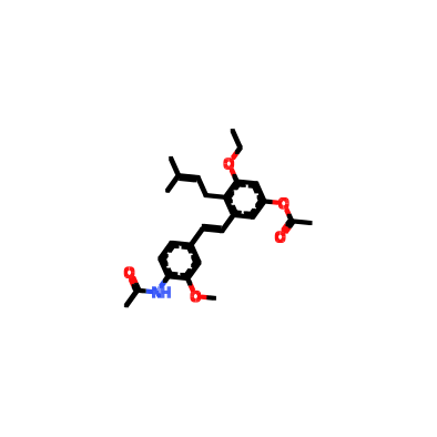 CCOc1cc(OC(C)=O)cc(C=Cc2ccc(NC(C)=O)c(OC)c2)c1CC=C(C)C